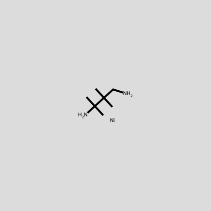 CC(C)(N)C(C)(C)CN.[Ni]